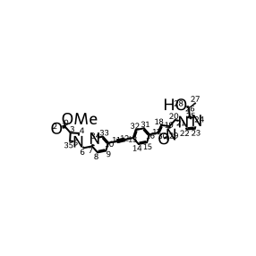 COC(=O)C1CN(Cc2ccc(C#Cc3ccc(-c4cc(Cn5ccnc5[C@H](C)O)no4)cc3)cn2)C1